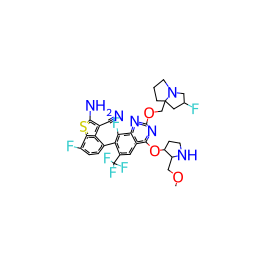 COCC1NCCC1Oc1nc(OCC23CCCN2CC(F)C3)nc2c(F)c(-c3ccc(F)c4sc(N)c(C#N)c34)c(C(F)(F)F)cc12